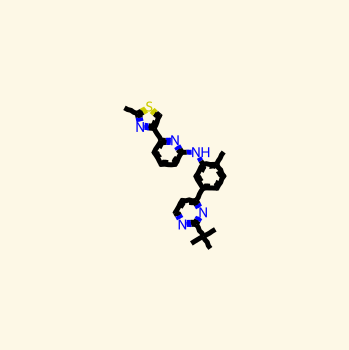 Cc1nc(-c2cccc(Nc3cc(-c4ccnc(C(C)(C)C)n4)ccc3C)n2)cs1